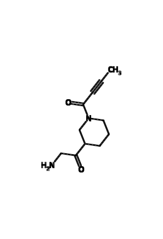 CC#CC(=O)N1CCCC(C(=O)CN)C1